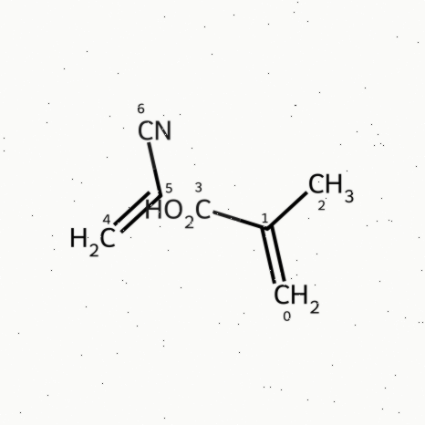 C=C(C)C(=O)O.C=CC#N